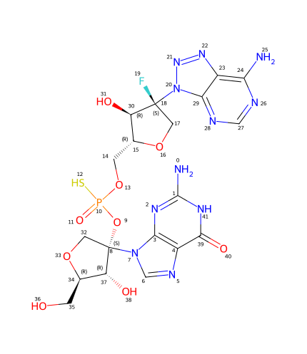 Nc1nc2c(ncn2[C@]2(OP(=O)(S)OC[C@H]3OC[C@@](F)(n4nnc5c(N)ncnc54)[C@@H]3O)CO[C@H](CO)[C@H]2O)c(=O)[nH]1